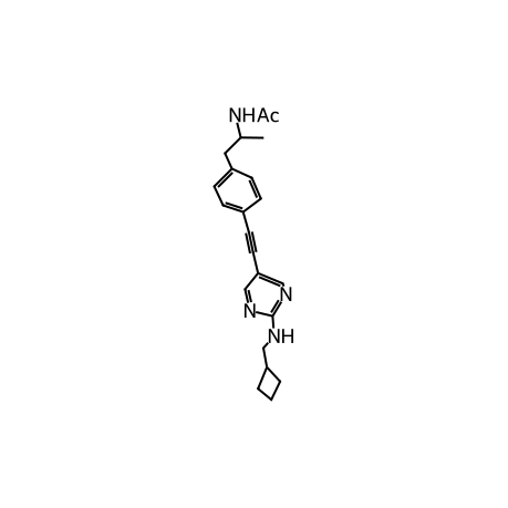 CC(=O)NC(C)Cc1ccc(C#Cc2cnc(NCC3CCC3)nc2)cc1